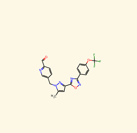 Cc1cc(-c2nc(-c3ccc(OC(F)(F)F)cc3)no2)nn1Cc1ccc(C=O)nc1